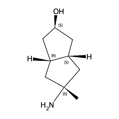 C[C@]1(N)C[C@H]2C[C@H](O)C[C@H]2C1